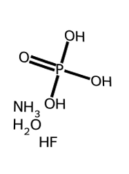 F.N.O.O=P(O)(O)O